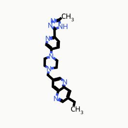 CCc1cnc2cc(CN3CCN(c4ccc(-c5nnc(C)[nH]5)nc4)CC3)cnc2c1